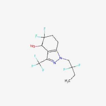 CCC(F)(F)Cn1nc(C(F)(F)F)c2c1CCC(F)(F)C2O